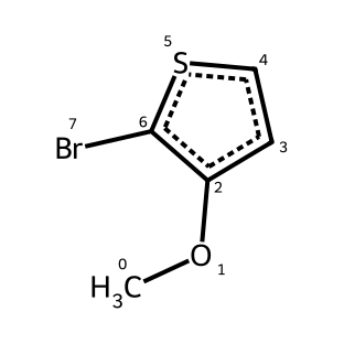 COc1ccsc1Br